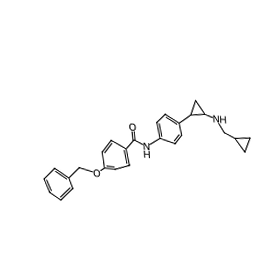 O=C(Nc1ccc(C2CC2NCC2CC2)cc1)c1ccc(OCc2ccccc2)cc1